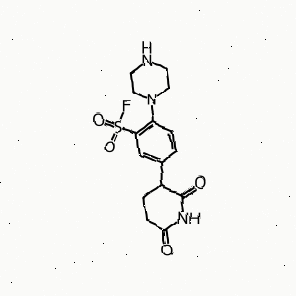 O=C1CCC(c2ccc(N3CCNCC3)c(S(=O)(=O)F)c2)C(=O)N1